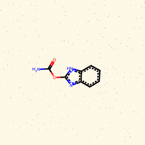 NC(=O)Oc1nc2ccccc2[nH]1